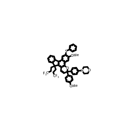 COc1ccc(C2(c3ccc(N4CCOCC4)cc3)C=Cc3c4c(c5cc(Sc6ccccc6)c(OC)cc5c3O2)-c2ccccc2C4(CCC(F)(F)F)CCC(F)(F)F)cc1